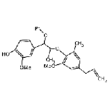 C=CCc1cc(C)c(OC(C)C(OC(C)C)c2ccc(O)c(OC)c2)c(OC)c1